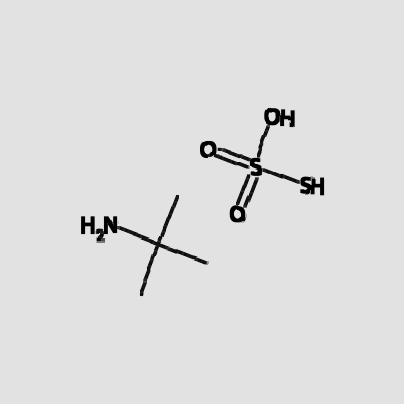 CC(C)(C)N.O=S(=O)(O)S